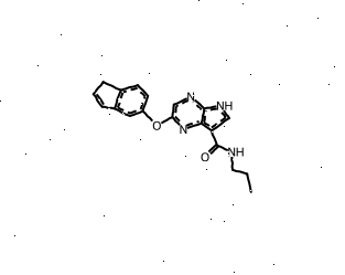 CCCNC(=O)c1c[nH]c2ncc(Oc3ccc4c(c3)C=CC4)nc12